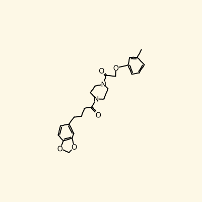 Cc1cccc(OCC(=O)N2CCN(C(=O)CCCc3ccc4c(c3)OCO4)CC2)c1